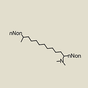 CCCCCCCCCC(C)CCCCCCCCCC(CCCCCCCCC)N(C)C